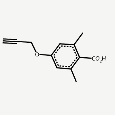 C#CCOc1cc(C)c(C(=O)O)c(C)c1